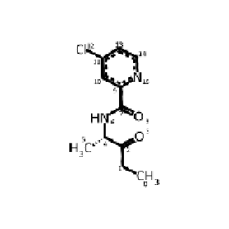 CCC(=O)[C@H](C)NC(=O)c1cc(Cl)ccn1